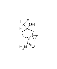 NC(=O)N1CCC(O)(C(F)(F)F)CC12CC2